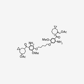 COc1cc(C(=O)C2CC[C@H](OC(C)=O)CC3(CC3)C2)c(N)cc1OCCCCCOc1cc(N)c(C(=O)[C@H]2CCCC3(CC3)C[C@H]2COC(C)=O)cc1OC